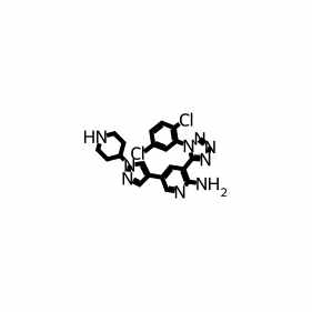 Nc1ncc(-c2cnn(C3CCNCC3)c2)cc1-c1nnnn1-c1cc(Cl)ccc1Cl